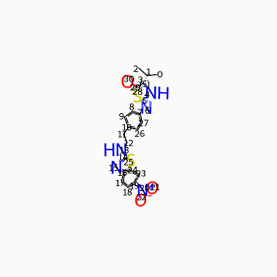 CC(C)[C@@H]1N/C(=N/c2ccc(CCNc3nc4ccc([N+](=O)[O-])cc4s3)cc2)SC1=O